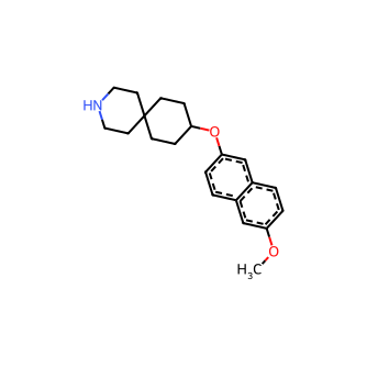 COc1ccc2cc(OC3CCC4(CCNCC4)CC3)ccc2c1